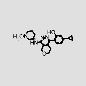 CN1CCC[C@@H](Nc2nnc(-c3ccc(C4CC4)cc3O)c3c2COCC3)C1